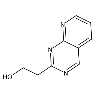 OCCc1ncc2cccnc2n1